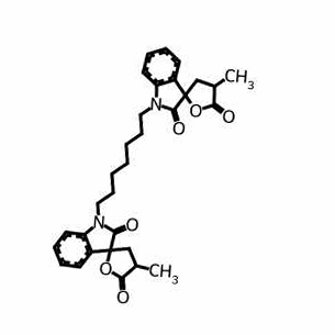 CC1CC2(OC1=O)C(=O)N(CCCCCCCN1C(=O)C3(CC(C)C(=O)O3)c3ccccc31)c1ccccc12